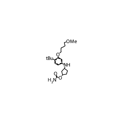 COCCCCOc1cc(NC2CCC(OC(N)=O)C2)ccc1C(C)(C)C